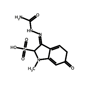 CN1C2=CC(=O)CC=C2C(=NNC(N)=O)C1S(=O)(=O)O